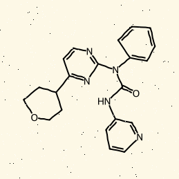 O=C(Nc1cccnc1)N(c1ccccc1)c1nccc(C2CCOCC2)n1